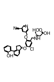 N#Cc1cncc(COc2cc(O[C@H]3CCc4c(-c5ccccc5O)cccc43)c(Cl)cc2CN[C@@H](CO)CC(=O)O)c1